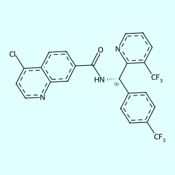 O=C(N[C@@H](c1ccc(C(F)(F)F)cc1)c1ncccc1C(F)(F)F)c1ccc2c(Cl)ccnc2c1